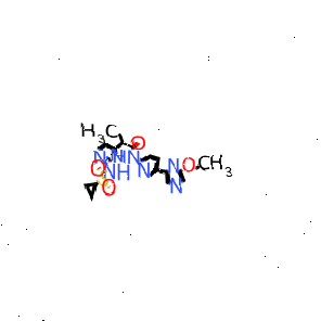 CCOc1cncc(-c2ccc(NC(=O)C(CC)c3ccnc(NS(=O)(=O)C4CC4)n3)nc2)n1